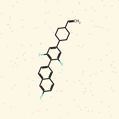 C=CC1CCC(c2cc(F)c(-c3ccc4cc(F)ccc4c3)c(F)c2)CC1